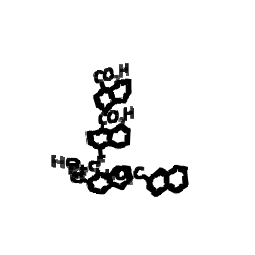 CCOc1ccc2ccccc2c1C(=O)O.O=C(O)c1ccc(F)c2ccccc12.O=C(O)c1ccc2ccccc2c1.O=C(O)c1cccc2ccccc12